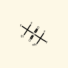 CCCC(F)(F)S(=O)(=O)C(F)(F)CC